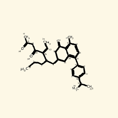 CCCC(CC1CC(=O)c2c(C)ccc(-c3ccc(C(C)C)cc3)c2C1)C(CC)C(=O)CC(C)=O